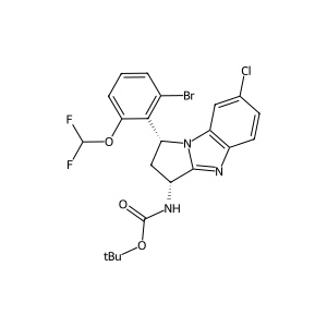 CC(C)(C)OC(=O)N[C@@H]1C[C@H](c2c(Br)cccc2OC(F)F)n2c1nc1ccc(Cl)cc12